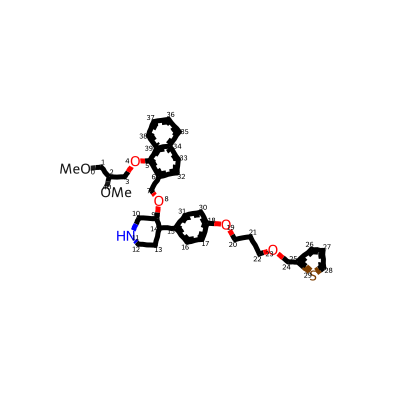 COCC(COc1c(COC2CNCCC2c2ccc(OCCCOCc3cccs3)cc2)ccc2ccccc12)OC